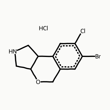 Cl.Clc1cc2c(cc1Br)COC1CNCC21